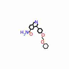 NC(=O)c1ccc2cncc(-c3ccc(OCCOC4CCCCC4)cc3)c2c1